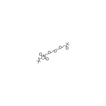 CC(C)(C)SC1CC(=O)N(CCOCCOCCOCCC(=O)C(C)(C)C)C1=O